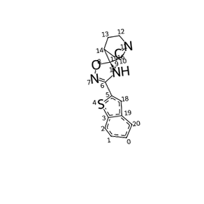 c1ccc2sc(C3=NO[C@]4(CN5CCC4CC5)N3)cc2c1